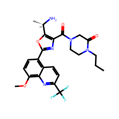 CCCN1CCN(C(=O)c2nc(-c3ccc(OC)c4nc(C(F)(F)F)ccc34)oc2[C@H](C)N)CC1=O